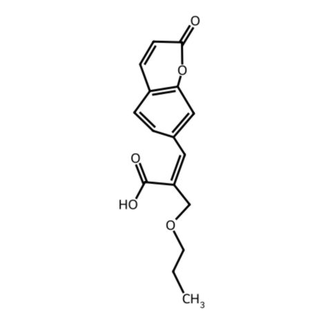 CCCOCC(=Cc1ccc2ccc(=O)oc2c1)C(=O)O